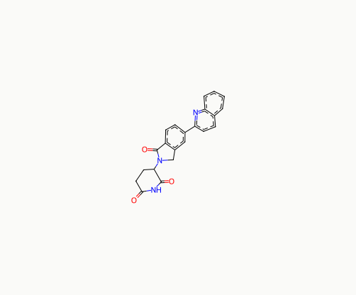 O=C1CCC(N2Cc3cc(-c4ccc5ccccc5n4)ccc3C2=O)C(=O)N1